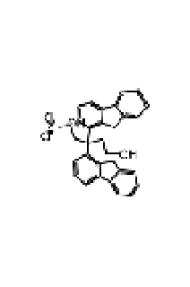 OCCC(C[CH](O)[Zr]([Cl])[Cl])(c1cccc2c1Cc1ccccc1-2)c1cccc2c1Cc1ccccc1-2